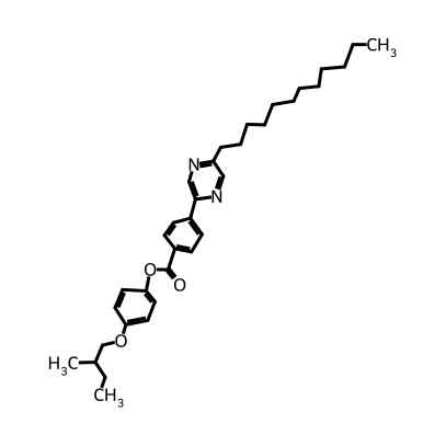 CCCCCCCCCCCCc1cnc(-c2ccc(C(=O)Oc3ccc(OCC(C)CC)cc3)cc2)cn1